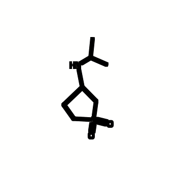 CC(C)NC1CCS(=O)(=O)C1